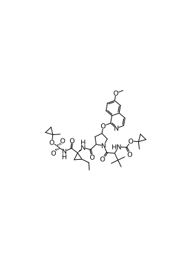 CCC1C[C@]1(NC(=O)C1CC(Oc2nccc3cc(OC)ccc23)CN1C(=O)C(NC(=O)OC1(C)CC1)C(C)(C)C)C(=O)NS(=O)(=O)OC1(C)CC1